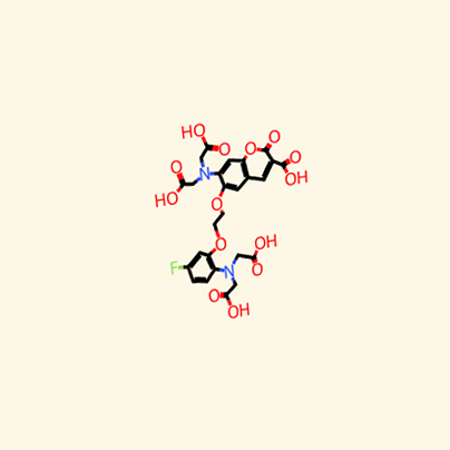 O=C(O)CN(CC(=O)O)c1ccc(F)cc1OCCOc1cc2cc(C(=O)O)c(=O)oc2cc1N(CC(=O)O)CC(=O)O